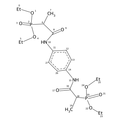 CCOP(=O)(OCC)C(C)C(=O)Nc1ccc(NC(=O)C(C)P(=O)(OCC)OCC)cc1